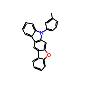 Cc1cccc(-n2c3ccccc3c3cc4c(cc32)oc2ccccc24)c1